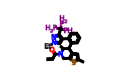 C=CC(=O)N1Cc2sc(C)cc2C(c2ccccc2-c2cn(CC)nc2C(P)(P)P)C1C